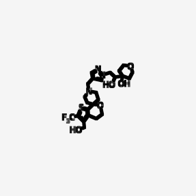 OCc1c(C(F)(F)F)sc2c1CCOC21CCN(Cc2cnn(CC(O)C3(O)CCOCC3)c2)CC1